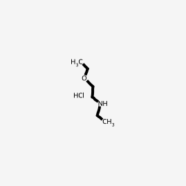 CCNCCOCC.Cl